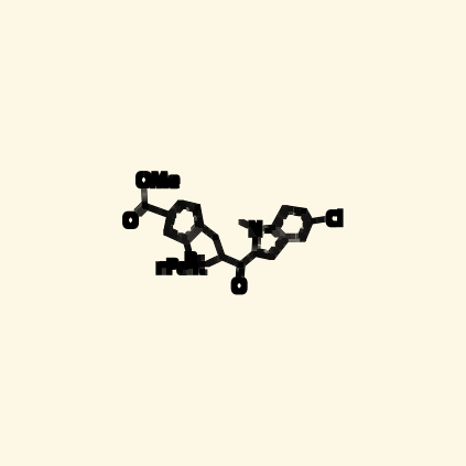 CCCCCC(Cc1ccc(C(=O)OC)cc1Br)C(=O)c1cc2cc(Cl)ccc2n1C